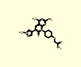 Cc1nc(N)nc2c1cc(-c1cnn(C)c1)c(=O)n2C1CCC(OCC(N)=O)CC1